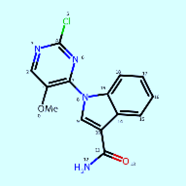 COc1cnc(Cl)nc1-n1cc(C(N)=O)c2ccccc21